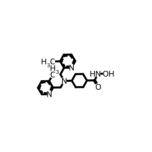 Cc1cccnc1CN(Cc1ncccc1C)C1CCC(C(=O)NO)CC1